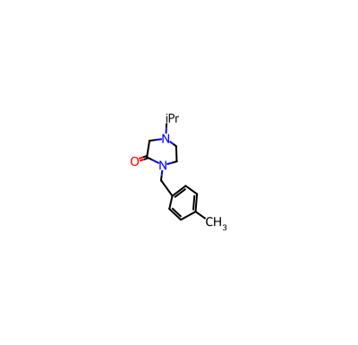 Cc1ccc(CN2CCN(C(C)C)CC2=O)cc1